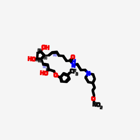 O=C(CCC/C=C\C[C@@H]1[C@@H](/C=C/[C@@H](O)COc2cccc(C(F)(F)F)c2)[C@H](O)C[C@@H]1O)NCCCN1CCC(CCCO[N+](=O)[O-])CC1